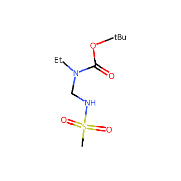 CCN(CNS(C)(=O)=O)C(=O)OC(C)(C)C